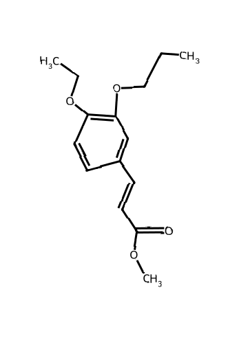 CCCOc1cc(C=CC(=O)OC)ccc1OCC